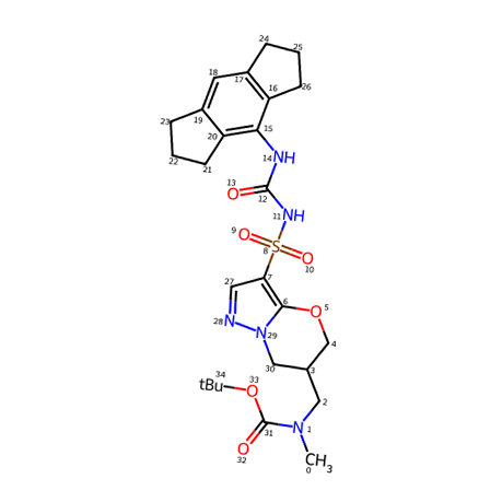 CN(CC1COc2c(S(=O)(=O)NC(=O)Nc3c4c(cc5c3CCC5)CCC4)cnn2C1)C(=O)OC(C)(C)C